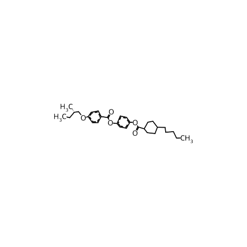 CCCCCC1CCC(C(=O)Oc2ccc(OC(=O)c3ccc(OC[C@@H](C)CC)cc3)cc2)CC1